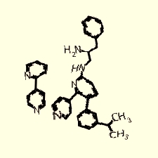 CC(C)c1cccc(-c2ccc(NC[C@@H](N)Cc3ccccc3)nc2-c2ccncc2)c1.c1ccc(-c2ccncc2)nc1